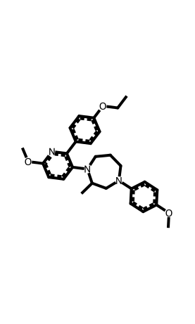 CCOc1ccc(-c2nc(OC)ccc2N2CCCN(c3ccc(OC)cc3)CC2C)cc1